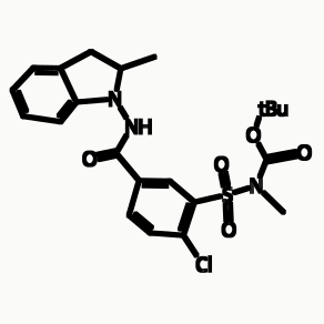 CC1Cc2ccccc2N1NC(=O)c1ccc(Cl)c(S(=O)(=O)N(C)C(=O)OC(C)(C)C)c1